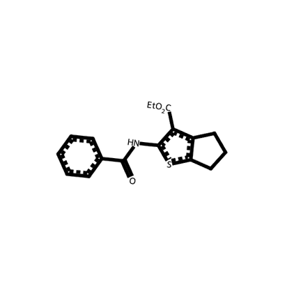 CCOC(=O)c1c(NC(=O)c2ccccc2)sc2c1CCC2